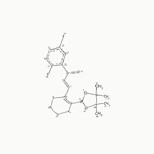 CC1(C)OB(C2=C(C=CC(=O)c3cc(F)ccc3F)CCCC2)OC1(C)C